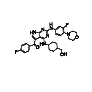 O=C(c1ccc(F)cc1)c1c[nH]c2nc(Nc3ccc(N4CCOCC4)c(F)c3)nc(NC3CCC(CO)CC3)c12